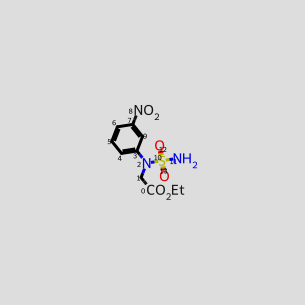 CCOC(=O)CN(c1cccc([N+](=O)[O-])c1)S(N)(=O)=O